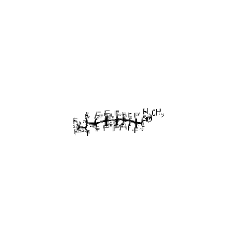 CO[SiH2]C(F)C(F)(F)C(F)(F)C(F)(F)C(F)(F)C(F)(F)C(F)(F)C(F)C(F)C(F)F